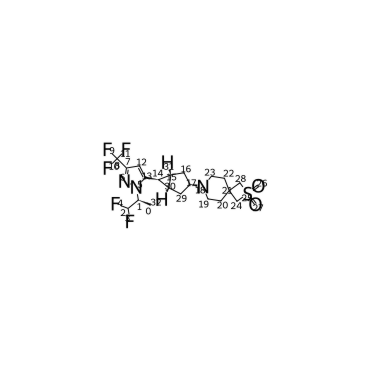 C[C@@H](C(F)F)n1nc(C(F)(F)F)cc1[C@H]1[C@@H]2C[C@@H](N3CCC4(CC3)CS(=O)(=O)C4)C[C@@H]21